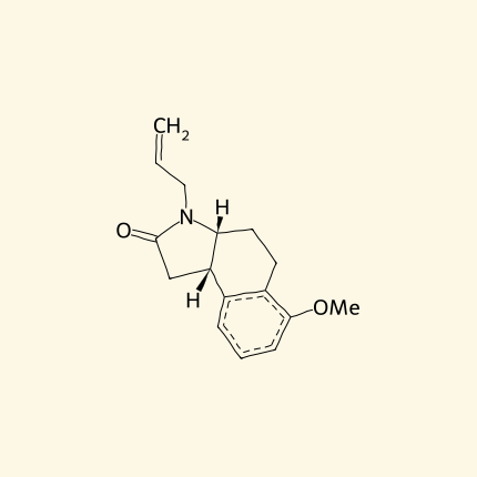 C=CCN1C(=O)C[C@H]2c3cccc(OC)c3CC[C@H]21